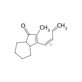 C=C/C=C\C1=C(C)C(=O)C2CCCCC12